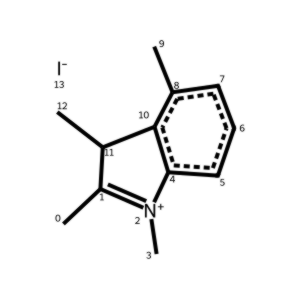 CC1=[N+](C)c2cccc(C)c2C1C.[I-]